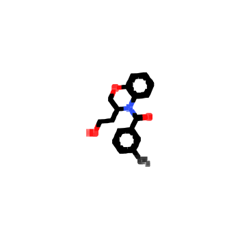 O=C(c1cccc(C(F)(F)F)c1)N1c2ccccc2OCC1CCO